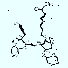 CCC#CC[C@H](C)[C@@H](C=C[C@@H]1[C@@H](CCC=CC=CC(=O)OC)[C@@H](O)C[C@H]1OC1CCCCO1)OC1CCCCO1